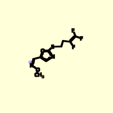 CO/N=C\c1cnc(SCCC(F)=C(F)F)o1